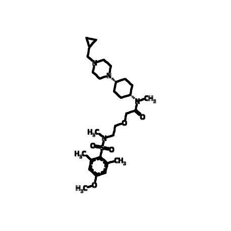 COc1cc(C)c(S(=O)(=O)N(C)CCOCC(=O)N(C)[C@H]2CC[C@@H](N3CCN(CC4CC4)CC3)CC2)c(C)c1